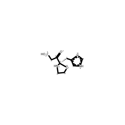 O=C(O)CC(=O)[C@]1(Cc2c[nH]cn2)NCCO1